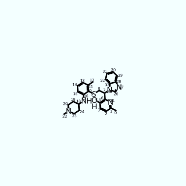 Cc1ccc(O)c(C(CSc2c(C)cccc2NC2CCN(C)CC2)n2cnc3ccccc32)n1